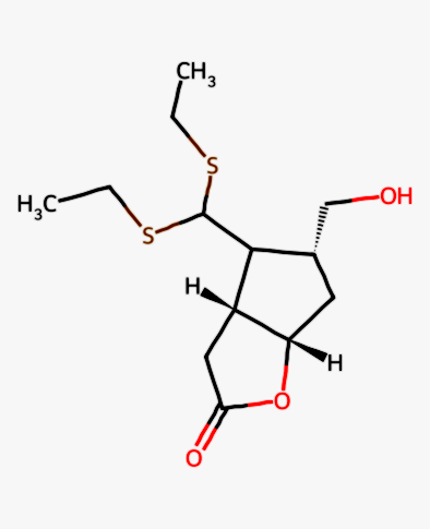 CCSC(SCC)C1[C@H](CO)C[C@@H]2OC(=O)C[C@H]12